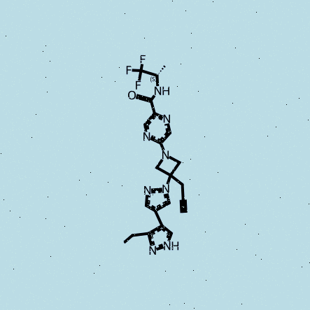 C#CCC1(n2cc(-c3c[nH]nc3CC)cn2)CN(c2cnc(C(=O)N[C@@H](C)C(F)(F)F)cn2)C1